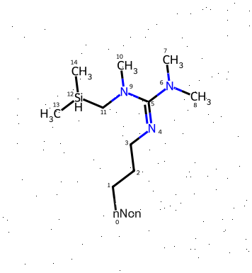 CCCCCCCCCCCCN=C(N(C)C)N(C)C[SiH](C)C